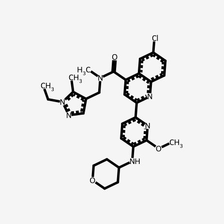 CCn1ncc(CN(C)C(=O)c2cc(-c3ccc(NC4CCOCC4)c(OC)n3)nc3ccc(Cl)cc23)c1C